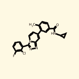 Cc1ccc(C(=O)NC2CC2)cc1-c1ccn2c(-c3cccc(F)c3Cl)nnc2c1